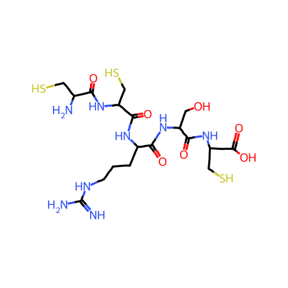 N=C(N)NCCCC(NC(=O)C(CS)NC(=O)C(N)CS)C(=O)NC(CO)C(=O)NC(CS)C(=O)O